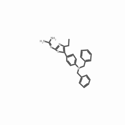 CCc1nc(N=C(N)N)sc1-c1ccc(N(Cc2ccccc2)Cc2ccccc2)cc1